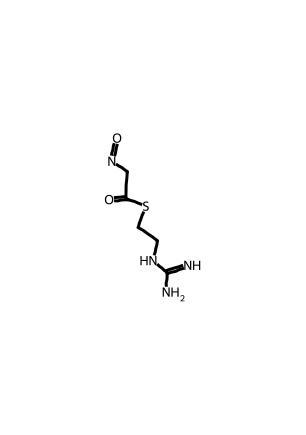 N=C(N)NCCSC(=O)CN=O